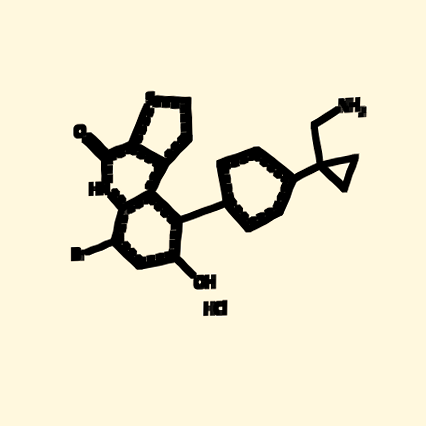 Cl.NCC1(c2ccc(-c3c(O)cc(Br)c4[nH]c(=O)c5sccc5c34)cc2)CC1